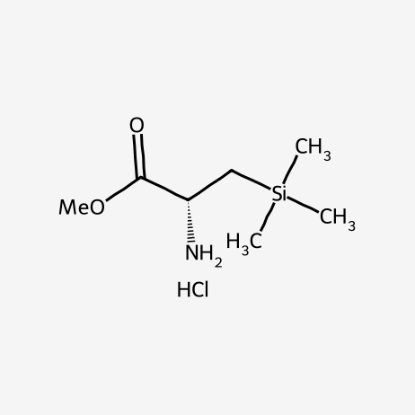 COC(=O)[C@@H](N)C[Si](C)(C)C.Cl